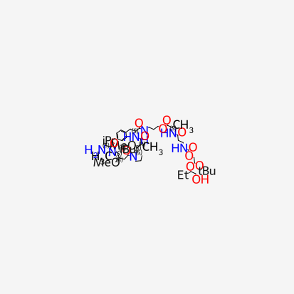 CCC(CO)OC(COC(=O)NCCC(=O)N[C@@H](C)C(=O)OCCCNC(=O)[C@H](Cc1ccccc1)NC(=O)[C@H](C)[C@@H](OC)[C@@H]1CCCN1C(=O)C[C@@H](OC)[C@H]([C@@H](C)CC)N(C)C(=O)[C@@H](N)C(C)C)OC(C)(C)C